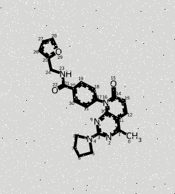 Cc1nc(N2CCCC2)nc2c1ccc(=O)n2-c1ccc(C(=O)NCc2ccco2)cc1